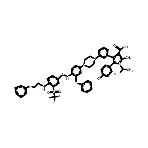 Cc1c(C(=O)O)c(-c2cccc(N3CCN(c4ccc(NSc5ccc(NCCSc6ccccc6)c(S(=O)(=O)C(F)(F)F)c5)c(Oc5ccccc5)c4)CC3)c2)c(-c2ccc(Cl)cc2)n1C(C)C